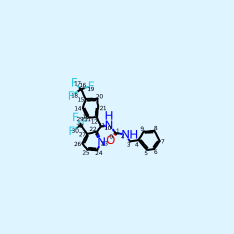 O=C(NCc1ccccc1)NC(c1ccc(C(F)(F)F)cc1)c1ncccc1C(F)(F)F